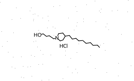 CCCCCCCCCCC1CCN(CCCCO)CC1.Cl